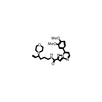 C=CC(CCCNC(=O)c1cc2nccc(-c3ccc(OC)c(OC)c3)n2n1)N1CCOCC1